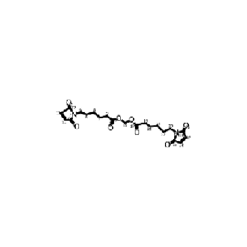 O=C(CCCCCN1C(=O)C=CC1=O)OCOC(=O)CCCCCN1C(=O)C=CC1=O